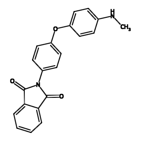 CNc1ccc(Oc2ccc(N3C(=O)c4ccccc4C3=O)cc2)cc1